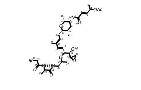 CC(=O)OC(C)C=CC(=O)N[C@@H]1C[C@H](C)[C@H](CC=C(C)C=C[C@H]2O[C@H](CNC(=O)C(C)NC(=O)CBr)C[C@@]3(CO3)[C@@H]2O)O[C@@H]1C